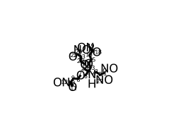 O=NCC(CNC(COCCC(=O)N=O)(COCCC(=O)N=O)COCCC(=O)N=O)N=O